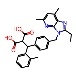 CCc1nc2c(C)cc(C)nc2n1Cc1ccc(C(c2ccccc2C)C(C(=O)O)C(=O)O)cc1